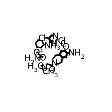 COc1cc2c(cc1N)CCN(C(=O)CN(C)C)CC2.NS(=O)(=O)C[C@@H]1CCCC[C@H]1Nc1nc(Cl)ncc1Cl